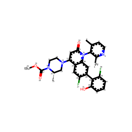 Cc1ccnc(C(C)C)c1-n1c(=O)cc(N2CCN(C(=O)OC(C)(C)C)[C@@H](C)C2)c2cc(F)c(-c3c(O)cccc3F)cc21